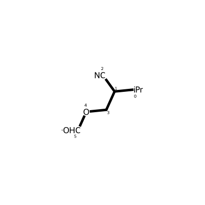 CC(C)C(C#N)CO[C]=O